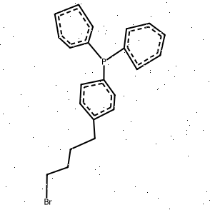 BrCCCCc1ccc(P(c2ccccc2)c2ccccc2)cc1